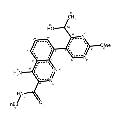 CCCCNC(=O)c1nnc2c(-c3cnc(OC)nc3C(C)O)cccc2c1N